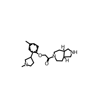 Cc1ccc(OCC(=O)N2CC[C@@H]3CNC[C@@H]3CC2)c(C2CCN(C)C2)c1